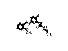 CCCNC(=O)Nc1nc(OCc2ccccc2OC)ncc1F